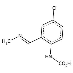 CN=Cc1cc(Cl)ccc1NC(=O)O